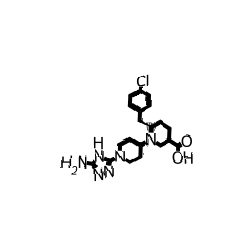 Nc1nnc(N2CCC(N3CC(C(=O)O)CC[C@@H]3Cc3ccc(Cl)cc3)CC2)[nH]1